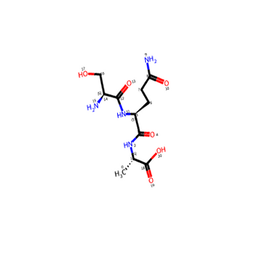 C[C@H](NC(=O)[C@H](CCC(N)=O)NC(=O)[C@@H](N)CO)C(=O)O